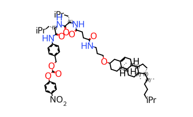 CC(C)CCC[C@@H](C)[C@H]1CC[C@H]2[C@@H]3CC=C4CC(OCCCNC(=O)CCC(=O)N[C@@H](CC(C)C)C(=O)N[C@@H](CC(C)C)C(=O)Nc5ccc(COC(=O)Oc6ccc([N+](=O)[O-])cc6)cc5)CC[C@]4(C)[C@H]3CC[C@]12C